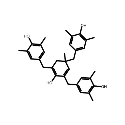 Cc1cc(CC2=CC(C)(Cc3cc(C)c(O)c(C)c3)CC(Cc3cc(C)c(O)c(C)c3)=C2O)cc(C)c1O